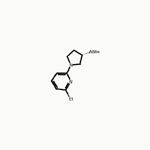 CCc1cccc(N2CC[C@H](NC)C2)n1